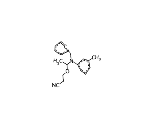 Cc1cccc(N(Cc2ccccc2)C(C)OCCC#N)c1